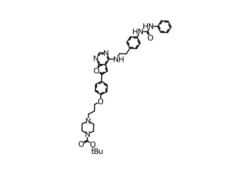 CC(C)(C)OC(=O)N1CCN(CCCOc2ccc(-c3cc4c(NCCc5ccc(NC(=O)Nc6ccccc6)cc5)ncnc4o3)cc2)CC1